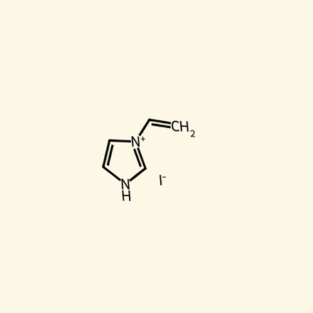 C=C[n+]1cc[nH]c1.[I-]